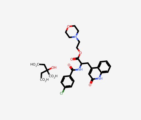 O=C(NC(Cc1cc(=O)[nH]c2ccccc12)C(=O)OCCN1CCOCC1)c1ccc(Cl)cc1.O=C(O)CC(O)(CC(=O)O)C(=O)O